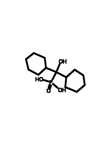 O=P(O)(O)C(O)(C1CCCCC1)C1CCCCC1